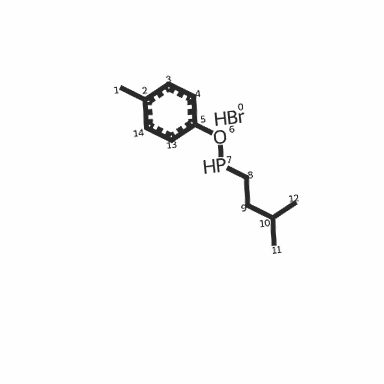 Br.Cc1ccc(OPCCC(C)C)cc1